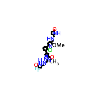 COc1nc(-c2cccc(-c3cc4c(=O)n(C)c(CNCC5CC(F)(F)C(=O)N5)nn4c3)c2Cl)ccc1CNCC1CCC(=O)N1